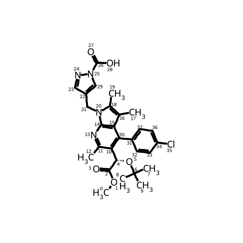 COC(=O)[C@@H](OC(C)(C)C)c1c(C)nc2c(c(C)c(C)n2Cc2cnn(C(=O)O)c2)c1-c1ccc(Cl)cc1